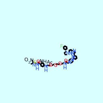 CC(=O)Nc1cc(NCCOCCOCCOCCNC(=O)CN2CCN(c3cccc(-c4cnc5ccc(N6CCC[C@@H]6c6cccc(F)c6)nn45)n3)CC2)ccc1C(=O)Nc1nc(C)c([N+](=O)[O-])s1